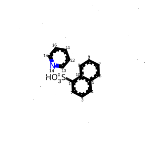 O=S(=O)(O)c1cccc2ccccc12.c1ccncc1